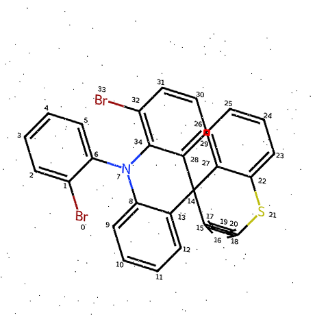 Brc1ccccc1N1c2ccccc2C2(c3ccccc3Sc3ccccc32)c2cccc(Br)c21